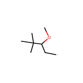 [CH2]CC(OC)C(C)(C)C